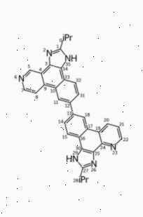 CC(C)c1nc2c3cnccc3c3cc(-c4ccc5c(c4)c4cccnc4c4nc(C(C)C)[nH]c54)ccc3c2[nH]1